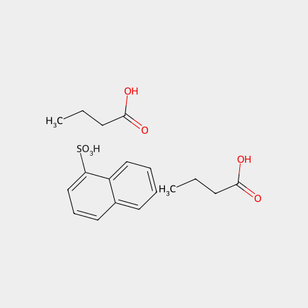 CCCC(=O)O.CCCC(=O)O.O=S(=O)(O)c1cccc2ccccc12